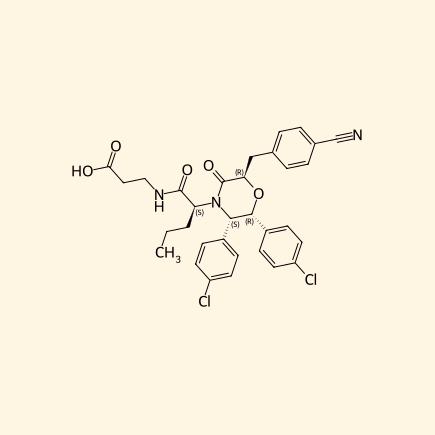 CCC[C@@H](C(=O)NCCC(=O)O)N1C(=O)[C@@H](Cc2ccc(C#N)cc2)O[C@H](c2ccc(Cl)cc2)[C@@H]1c1ccc(Cl)cc1